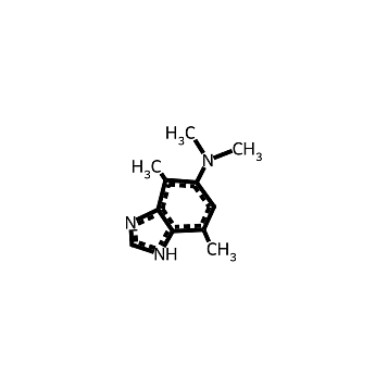 Cc1c(N(C)C)cc(C)c2[nH]cnc12